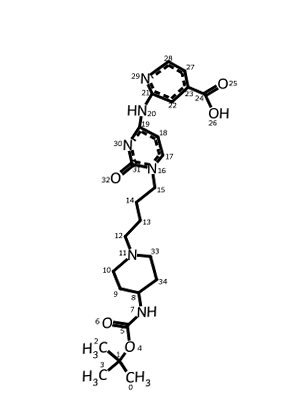 CC(C)(C)OC(=O)NC1CCN(CCCCn2ccc(Nc3cc(C(=O)O)ccn3)nc2=O)CC1